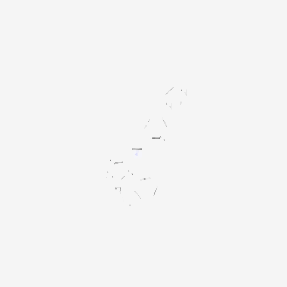 Cc1cn(-c2ccc(/C=C/c3nc4n(n3)CCC[C@@]4(O)c3cc(F)cc(F)c3)nc2C)cn1